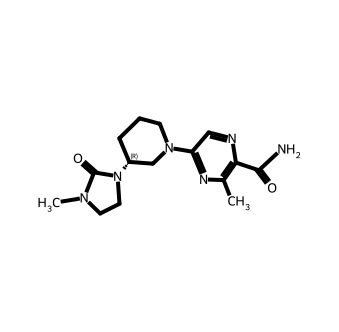 Cc1nc(N2CCC[C@@H](N3CCN(C)C3=O)C2)cnc1C(N)=O